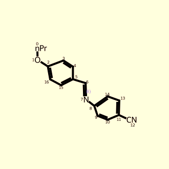 CCCOc1ccc(/C=N/c2ccc(C#N)cc2)cc1